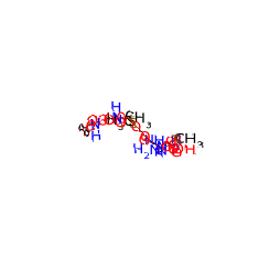 CSSCOC1C[C@H](n2cc(C#CCNC(=O)OCCCCOCSSC(C)(C)CCOC(=O)NCCOCCOCCNC(=O)OCC3c4ccccc4-c4ccccc43)c3c(N)ncnc32)O[C@@H]1CO[PH](=O)O